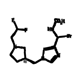 CC(C)C(NC(=O)O)c1cn(C[C@H]2CCN(CC(F)F)C2)cn1